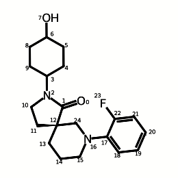 O=C1N(C2CCC(O)CC2)CC[C@@]12CCCN(c1cc[c]cc1F)C2